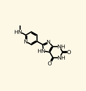 CNc1ccc(-c2nc3[nH]c(=O)[nH]c(=O)c3[nH]2)cn1